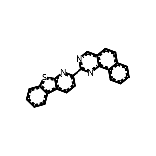 c1ccc2c(c1)ccc1cnc(-c3ccc4c(n3)sc3ccccc34)nc12